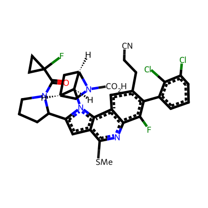 CSc1nc2c(F)c(-c3cccc(Cl)c3Cl)c(CCC#N)cc2c2c1cc(C1CCCN1C(=O)C1(F)CC1)n2[C@H]1[C@@H]2C[C@H]1N(C(=O)O)C2